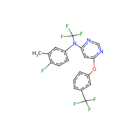 Cc1cc(N(c2cc(Oc3cccc(C(F)(F)F)c3)ncn2)C(F)(F)F)ccc1F